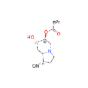 CCCC(=O)O[C@H]1CN2CC[C@H](N=O)C2C[C@@H]1O